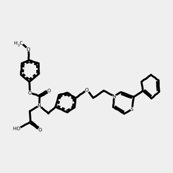 COc1ccc(OC(=O)N(CC(=O)O)Cc2ccc(OCCN3C=CSC(C4=CC=CCC4)=C3)cc2)cc1